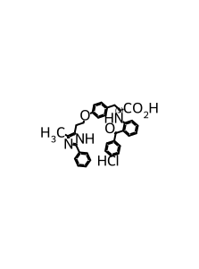 Cc1nc(-c2ccccc2)[nH]c1CCOc1ccc(C[C@H](Nc2ccccc2C(=O)c2ccccc2)C(=O)O)cc1.Cl